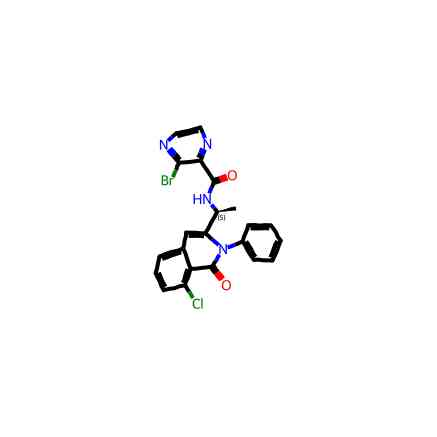 C[C@H](NC(=O)c1nccnc1Br)c1cc2cccc(Cl)c2c(=O)n1-c1ccccc1